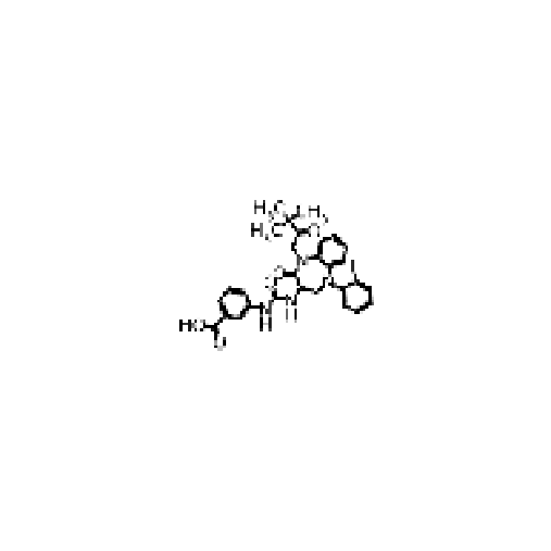 CC(C)(C)C(=O)CN1C(=O)C(NC(=O)Nc2cccc(C(=O)O)c2)CN(c2ccccc2F)c2ccccc21